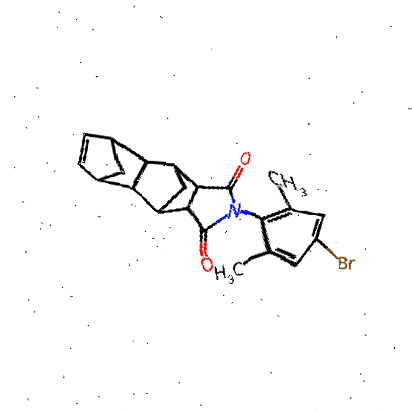 Cc1cc(Br)cc(C)c1N1C(=O)C2C3CC(C2C1=O)C1C2C=CC(C2)C31